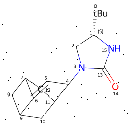 CC(C)(C)[C@H]1CN(C2C=C3C4CC3CC2C4)C(=O)N1